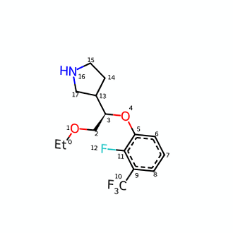 CCOC[C@H](Oc1cccc(C(F)(F)F)c1F)C1CCNC1